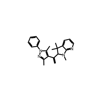 C=C(c1c(C)nn(-c2ccccc2)c1C)C1N(C)c2ncccc2C1(C)C